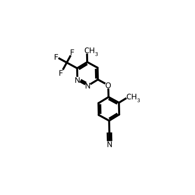 Cc1cc(C#N)ccc1Oc1cc(C)c(C(F)(F)F)nn1